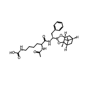 CC(=O)NC(CCCCNC(=O)O)C(=O)N[C@@H](Cc1ccccc1)B1O[C@@H]2C[C@@H]3C[C@@H](C3(C)C)[C@]2(C)O1